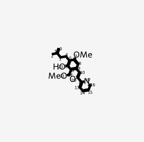 C=C(C)CCc1c(OC)cc(/C=C/c2ccccn2)c(C(=O)OC)c1O